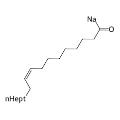 CCCCCCCC/C=C\CCCCCCC[C](=O)[Na]